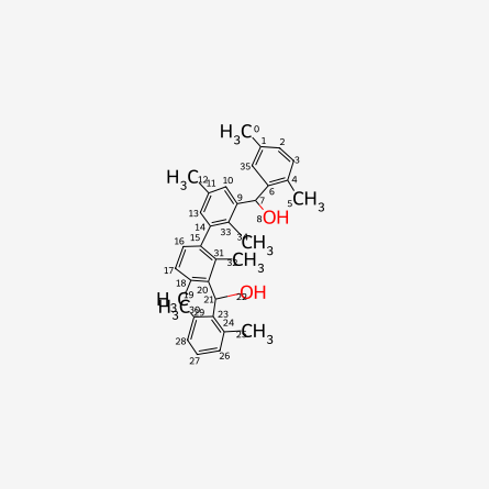 Cc1ccc(C)c(C(O)c2cc(C)cc(-c3ccc(C)c(C(O)c4c(C)cccc4C)c3C)c2C)c1